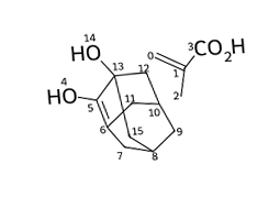 C=C(C)C(=O)O.OC1=C2CC3CC(C2)CC1(O)C3